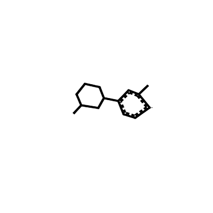 Cc1[c]ccc(C2CCCC(C)C2)c1